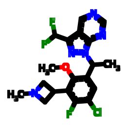 COc1c(C(C)n2nc(C(F)F)c3cncnc32)cc(Cl)c(F)c1C1CN(C)C1